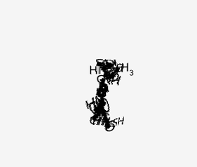 CCOC(=O)C(CSN[C@@H](CS)C(=O)S)NC(=O)c1ccc2cc(C(=O)NC(CSSN[C@H](C=O)CS)C(=O)OCC)ccc2c1